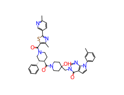 Cc1cccc(-n2ccc3c(=O)n(CC4(O)CCN(C(=O)[C@@H]5CCN(C(=O)c6sc(-c7ccc(C)nc7)nc6C)C[C@H]5c5ccccc5)CC4)cnc32)c1